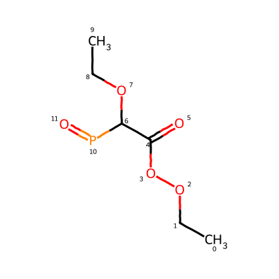 CCOOC(=O)C(OCC)P=O